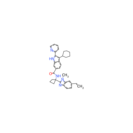 C=Cc1ccc2nc(C3(NC(=O)c4ccc5c(C6CCCCC6)c(-c6ccccn6)[nH]c5c4)CCC3)n(C)c2c1